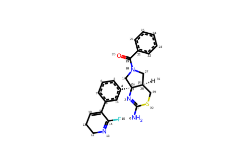 NC1=N[C@@]2(c3cccc(C4=CCCN=C4F)c3)CN(C(=O)c3ccccc3)C[C@H]2CS1